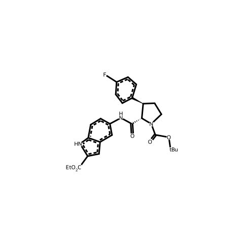 CCOC(=O)c1cc2cc(NC(=O)[C@@H]3[C@@H](c4ccc(F)cc4)CCN3C(=O)OC(C)(C)C)ccc2[nH]1